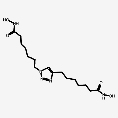 O=C(CCCCCCc1cn(CCCCCCC(=O)NO)nn1)NO